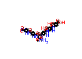 COC(C(N)=O)C(NC(=O)c1ccc(NC(=O)c2ccc([N+](=O)[O-])cc2)cc1)C(=O)Nc1ccc(C(=O)Nc2ccc(C(=O)Nc3ccc(C(=O)O)cc3O)cc2O)cc1